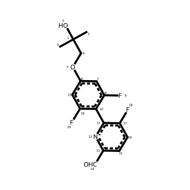 CC(C)(O)COc1cc(F)c(-c2nc(C=O)ccc2F)c(F)c1